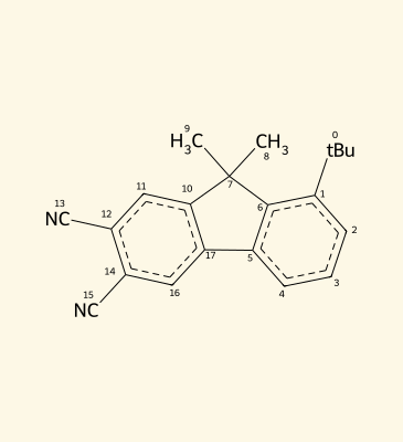 CC(C)(C)c1cccc2c1C(C)(C)c1cc(C#N)c(C#N)cc1-2